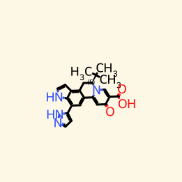 CC(C)(C)[C@@H]1Cc2c(cc(-c3ccn[nH]3)c3[nH]ccc23)-c2cc(=O)c(C(=O)O)cn21